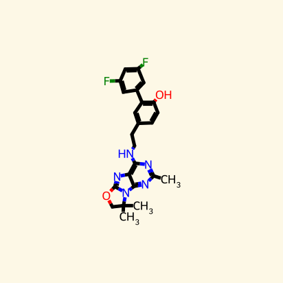 Cc1nc(NCCc2ccc(O)c(-c3cc(F)cc(F)c3)c2)c2nc3n(c2n1)C(C)(C)CO3